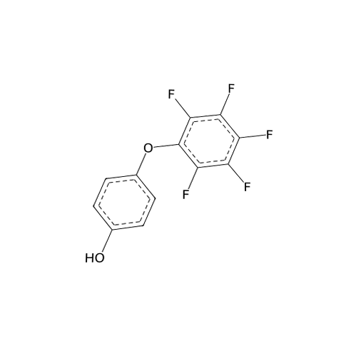 Oc1ccc(Oc2c(F)c(F)c(F)c(F)c2F)cc1